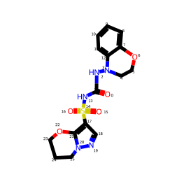 O=C(NN1CCOc2ccccc21)NS(=O)(=O)c1cnn2c1OCCC2